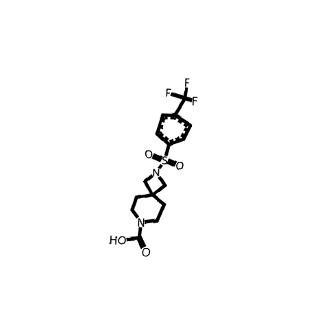 O=C(O)N1CCC2(CC1)CN(S(=O)(=O)c1ccc(C(F)(F)F)cc1)C2